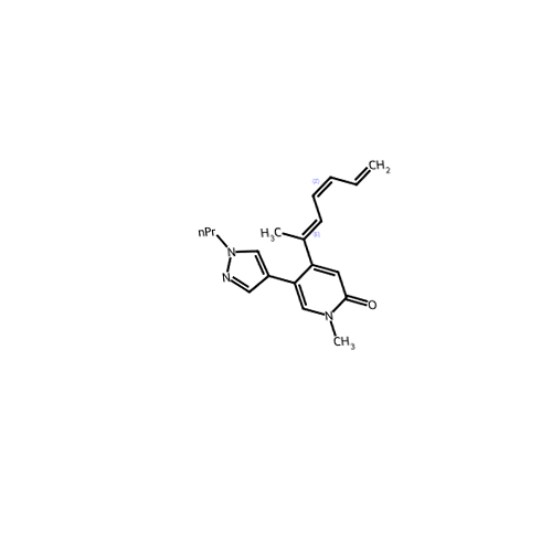 C=C/C=C\C=C(/C)c1cc(=O)n(C)cc1-c1cnn(CCC)c1